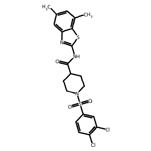 Cc1cc(C)c2sc(NC(=O)C3CCN(S(=O)(=O)c4ccc(Cl)c(Cl)c4)CC3)nc2c1